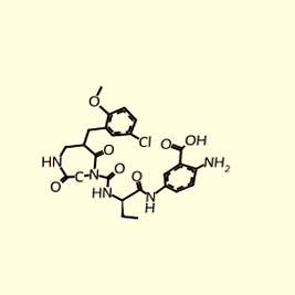 CC[C@@H](NC(=O)N1CC(=O)NCC(Cc2cc(Cl)ccc2OC)C1=O)C(=O)Nc1ccc(N)c(C(=O)O)c1